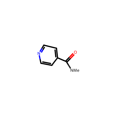 CNC(=O)c1[c]cncc1